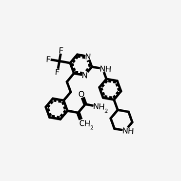 C=C(C(N)=O)c1ccccc1CCc1nc(Nc2ccc(C3CCNCC3)cc2)ncc1C(F)(F)F